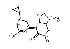 C=C(/C=C(/COC1CC1)N=C(N)N)N(CC)CC1CCCN1C